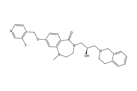 CN1CCN(C[C@H](O)CN2CCc3ccccc3C2)C(=O)c2ccc(OCc3ccncc3F)cc21